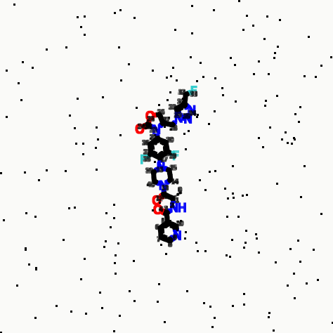 C[C@H](NC(=O)c1cccnc1)C(=O)N1CCN(c2c(F)cc(N3C(=O)OCC3Cn3cc(CF)nn3)cc2F)CC1